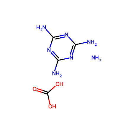 N.Nc1nc(N)nc(N)n1.O=C(O)O